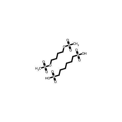 CS(=O)(=O)OCCCCOS(C)(=O)=O.O=S(=O)(O)CCCCCCS(=O)(=O)O